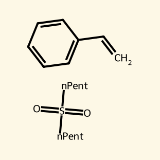 C=Cc1ccccc1.CCCCCS(=O)(=O)CCCCC